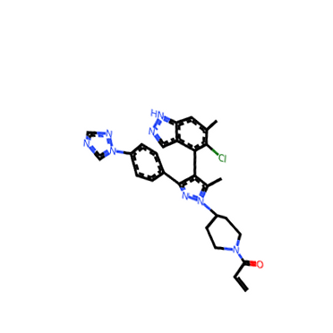 C=CC(=O)N1CCC(n2nc(-c3ccc(-n4cncn4)cc3)c(-c3c(Cl)c(C)cc4[nH]ncc34)c2C)CC1